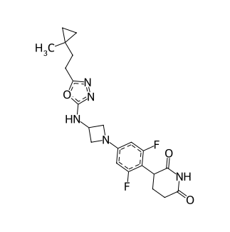 CC1(CCc2nnc(NC3CN(c4cc(F)c(C5CCC(=O)NC5=O)c(F)c4)C3)o2)CC1